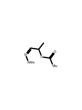 CN/N=C\C(C)OC(=O)C(C)(C)C